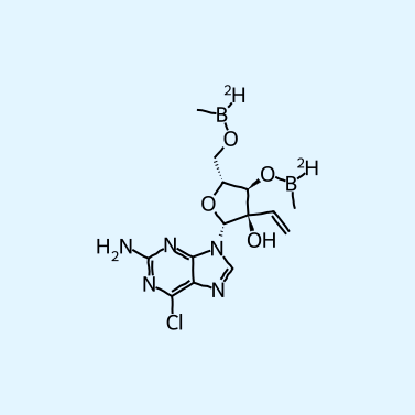 [2H]B(C)OC[C@H]1O[C@@H](n2cnc3c(Cl)nc(N)nc32)[C@@](O)(C=C)[C@@H]1OB([2H])C